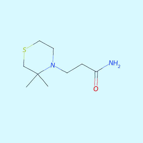 CC1(C)CSCCN1CCC(N)=O